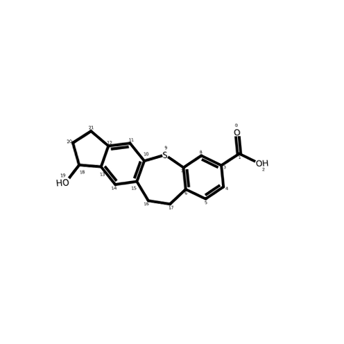 O=C(O)c1ccc2c(c1)Sc1cc3c(cc1CC2)C(O)CC3